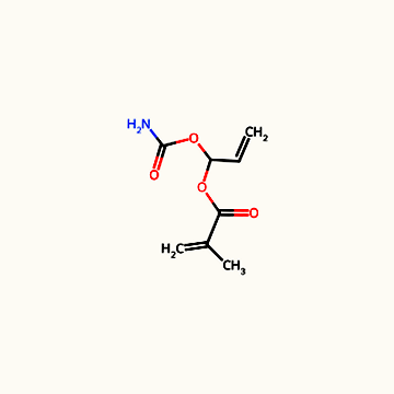 C=CC(OC(N)=O)OC(=O)C(=C)C